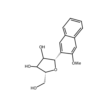 COc1cc2ccccc2cc1[C@@H]1O[C@H](CO)C(O)C1O